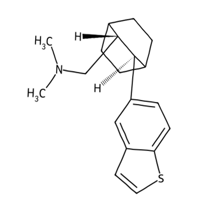 CN(C)C[C@@H]1C2CCC(CC2)[C@H]1c1ccc2sccc2c1